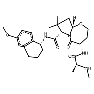 CN[C@@H](C)C(=O)N[C@H]1CCO[C@H]2CC(C)(C)[C@@H](C(=O)N[C@@H]3CCCc4cc(OC)ccc43)N2C1=O